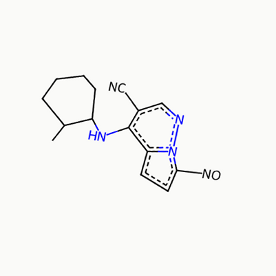 CC1CCCCC1Nc1c(C#N)cnn2c(N=O)ccc12